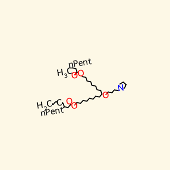 C=CC=C=CC(CCCCC)CC(=O)OCCCCCCCCC(CCCCCCCCOC(=O)CC(C)CCCCC)OCCCCN1CCCC1